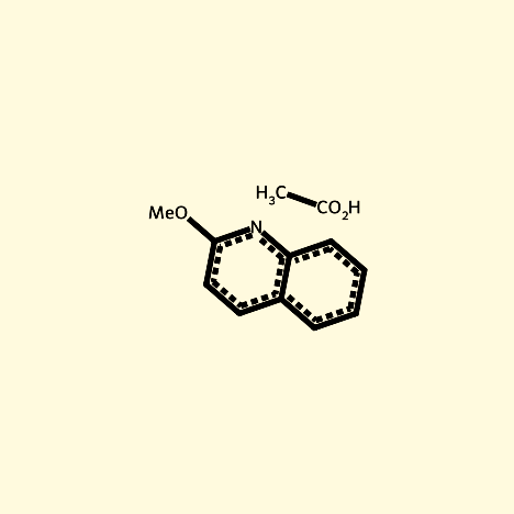 CC(=O)O.COc1ccc2ccccc2n1